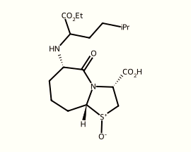 CCOC(=O)C(CCC(C)C)N[C@H]1CCC[C@@H]2N(C1=O)[C@H](C(=O)O)C[S+]2[O-]